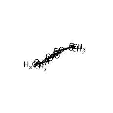 C=C(C)C(=O)OCCCCCCOc1ccc(C(=O)Oc2ccc(OC(=O)c3ccc(OCCCOC(=O)C(=C)C)cc3F)cc2)c(F)c1